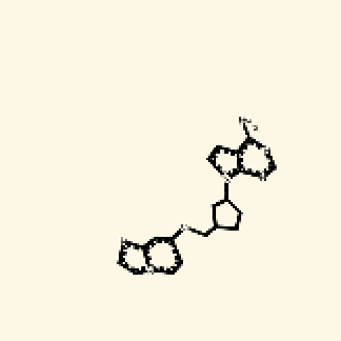 Nc1ncnc2c1ccn2C1CCC(COc2ccn3ccnc3c2)C1